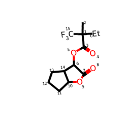 CCC(C)(C(=O)OC1C(=O)OC2CCCC21)C(F)(F)F